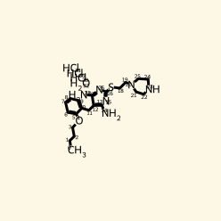 CCCCOc1ccccc1Cc1c(N)nc(SCCN2CCNCC2)nc1N.Cl.Cl.Cl.O